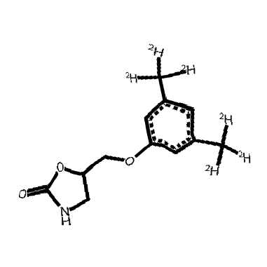 [2H]C([2H])([2H])c1cc(OCC2CNC(=O)O2)cc(C([2H])([2H])[2H])c1